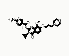 COc1c(OCCCN2CCOCC2)ccc2c(=O)n(C3CC3)c(NC(=O)c3cnc(N)nc3)nc12